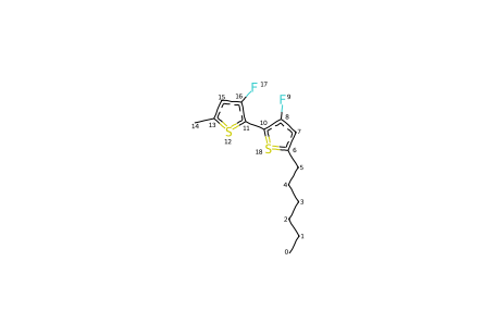 CCCCCCc1cc(F)c(-c2sc(C)cc2F)s1